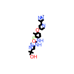 Cc1c(Oc2ccnc(-c3cnn(C)c3)c2)ccc(NC(=O)Nc2cc(C(C)(C)CO)nn2C)c1F